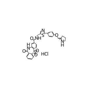 Cl.O=C(NCc1cnc(-c2ccc(OC[C@H]3CCCN3)cc2)s1)c1ccc2c(c1)NC(=O)c1ccccc1S2(=O)=O